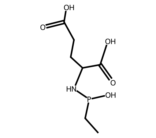 CCP(O)NC(CCC(=O)O)C(=O)O